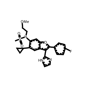 COCCN(c1cc2oc(-c3ccc(F)cc3)c(-c3ncc[nH]3)c2cc1C1CC1)S(C)(=O)=O